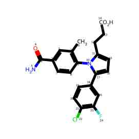 Cc1cc(C(N)=O)ccc1-n1c(CCC(=O)O)ccc1-c1ccc(Cl)c(F)c1